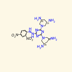 N[C@@H]1C[C@H](N)CN(c2nc(NNc3ccc([N+](=O)[O-])cc3[N+](=O)[O-])nc(N3C[C@H](N)C[C@H](N)C3)n2)C1